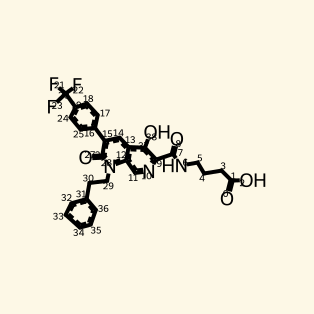 O=C(O)CCCNC(=O)c1ncc2c(cc(-c3ccc(C(F)(F)F)cc3)c(=O)n2CCc2ccccc2)c1O